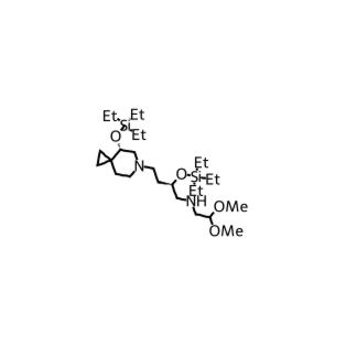 CC[Si](CC)(CC)O[C@H](CCN1CCC2(CC2)[C@H](O[Si](CC)(CC)CC)C1)CNCC(OC)OC